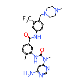 Cc1ccc(C(=O)Nc2ccc(CN3CCN(C)CC3)c(C(F)(F)F)c2)cc1NC(=O)N(C)c1cc(N)ncn1